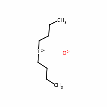 CCC[CH2][Ti+2][CH2]CCC.[O-2]